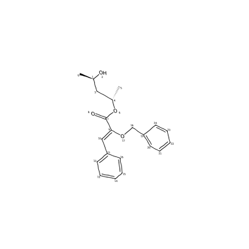 C[C@@H](O)C[C@H](C)OC(=O)C(=Cc1ccccc1)OCc1ccccc1